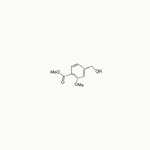 COC(=O)c1ccc(CO)cc1OC